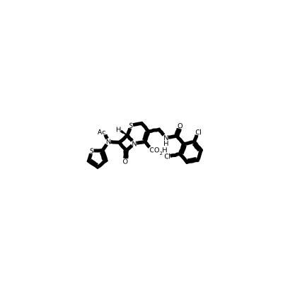 CC(=O)N(c1cccs1)C1C(=O)N2C(C(=O)O)=C(CNC(=O)c3c(Cl)cccc3Cl)CS[C@@H]12